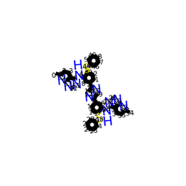 Cc1ccc2c(Nc3cc(-c4cnc(-c5ccc(Sc6ccccc6)c(Nc6ncnc7nc(C)ccc67)c5)cn4)ccc3Sc3ccccc3)ncnc2n1